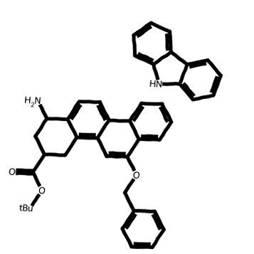 CC(C)(C)OC(=O)C1Cc2c(ccc3c2cc(OCc2ccccc2)c2ccccc23)C(N)C1.c1ccc2c(c1)[nH]c1ccccc12